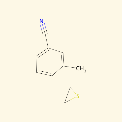 C1CS1.Cc1cccc(C#N)c1